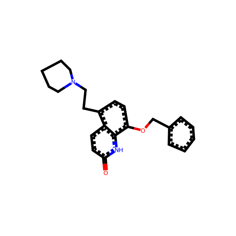 O=c1ccc2c(CCN3CCCCC3)ccc(OCc3ccccc3)c2[nH]1